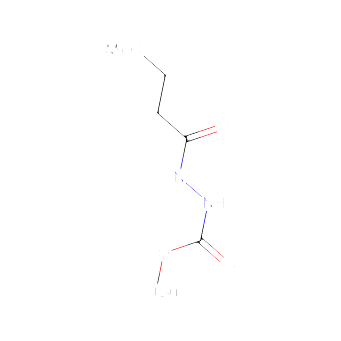 COCCC(=O)[N]NC(=O)OC(C)(C)C